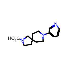 O=C(O)N1CCC2(CCN(c3cccnc3)CC2)C1